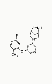 Cc1ccc(F)cc1Oc1cncc(N2CC3CNC(C3)C2)c1